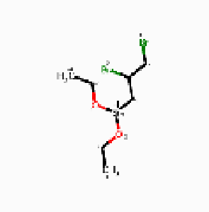 CCO[SiH](CC(Br)CBr)OCC